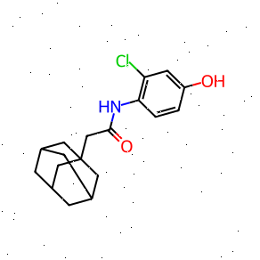 O=C(CC12CC3CC(CC(C3)C1)C2)Nc1ccc(O)cc1Cl